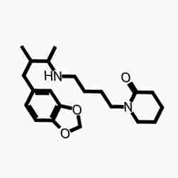 CC(Cc1ccc2c(c1)OCO2)C(C)NCCCCN1CCCCC1=O